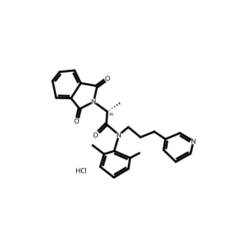 Cc1cccc(C)c1N(CCCc1cccnc1)C(=O)[C@@H](C)N1C(=O)c2ccccc2C1=O.Cl